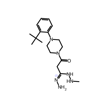 CNN/C(CC(=O)N1CCN(c2ccccc2C(C)(C)C)CC1)=N\N